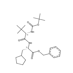 CC(C)(C)OC(=O)N[C@H](C(=O)N[C@@H](CC1CCCC1)C(=O)OCc1ccccc1)C(C)(C)C